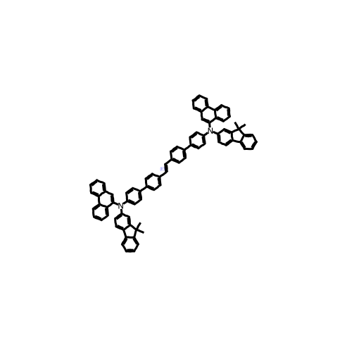 CC1(C)c2ccccc2-c2ccc(N(c3ccc(-c4ccc(/C=C/c5ccc(-c6ccc(N(c7ccc8c(c7)C(C)(C)c7ccccc7-8)c7cc8ccccc8c8ccccc78)cc6)cc5)cc4)cc3)c3cc4ccccc4c4ccccc34)cc21